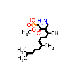 COP(=O)(O)CC(=O)/C(CN)=C(/C)CC/C=C(\C)CCC=C(C)C